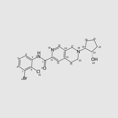 O=C(Nc1cccc(Br)c1Cl)c1cc2c(cn1)CN(C1CCC[C@@H]1O)CC2